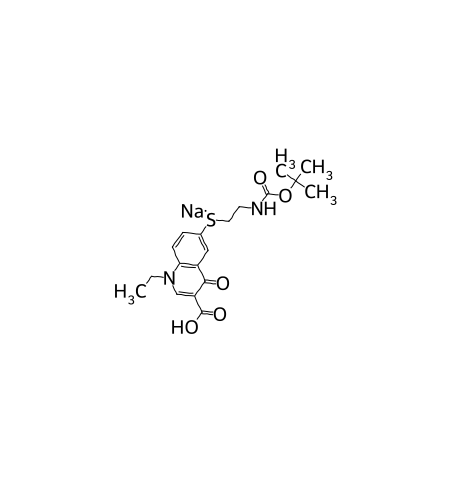 CCn1cc(C(=O)O)c(=O)c2cc(SCCNC(=O)OC(C)(C)C)ccc21.[Na]